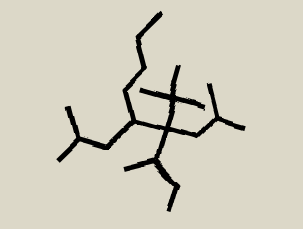 CCCC[C](CC(C)C)C(CC(C)C)(C(C)CC)C(C)(C)C